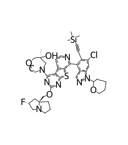 C[C@@]1(O)COCCN(c2nc(OC[C@@]34CCCN3C[C@H](F)C4)nc3sc4c(-c5c(C#C[Si](C)(C)C)c(Cl)cc6c5cnn6C5CCCCO5)nccc4c23)C1